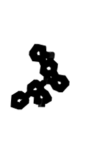 c1ccc(-c2ccc(-n3c4ccccc4c4cc5oc6ccccc6c5cc43)c3ccncc23)cc1